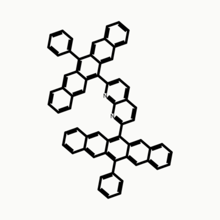 c1ccc(-c2c3cc4ccccc4cc3c(-c3ccc4ccc(-c5c6cc7ccccc7cc6c(-c6ccccc6)c6cc7ccccc7cc56)nc4n3)c3cc4ccccc4cc23)cc1